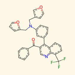 O=C(c1ccccc1)c1cnc2c(C(F)(F)F)cccc2c1-c1cccc(N(Cc2ccoc2)Cc2ccco2)c1